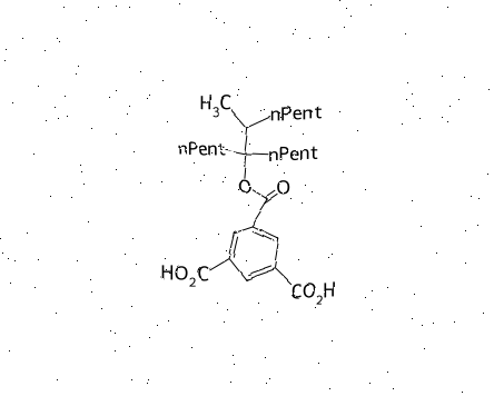 CCCCCC(C)C(CCCCC)(CCCCC)OC(=O)c1cc(C(=O)O)cc(C(=O)O)c1